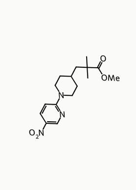 COC(=O)C(C)(C)CC1CCN(c2ccc([N+](=O)[O-])cn2)CC1